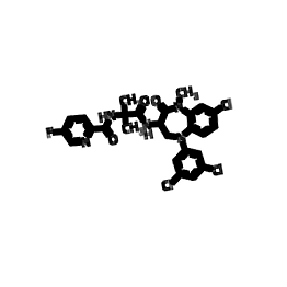 CN1C(=O)C(NC(=O)C(C)(C)NC(=O)c2ccc(F)cn2)CN(c2cc(Cl)cc(Cl)c2)c2ccc(Cl)cc21